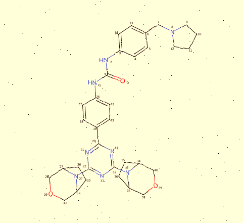 O=C(Nc1ccc(CN2CCCC2)cc1)Nc1ccc(-c2nc(N3C4CCC3COC4)nc(N3C4CCC3COC4)n2)cc1